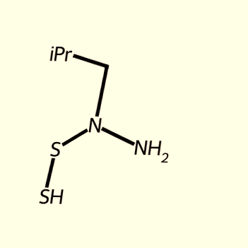 CC(C)CN(N)SS